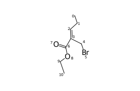 CCC=C(CBr)C(=O)OCC